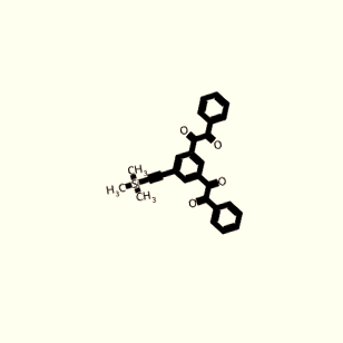 C[Si](C)(C)C#Cc1cc(C(=O)C(=O)c2ccccc2)cc(C(=O)C(=O)c2ccccc2)c1